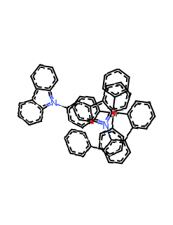 c1ccc(-c2cccc(-c3ccccc3[Si](c3ccccc3)(c3ccccc3)c3ccccc3)c2-n2c3ccccc3c3cc(-n4c5ccccc5c5ccccc54)ccc32)cc1